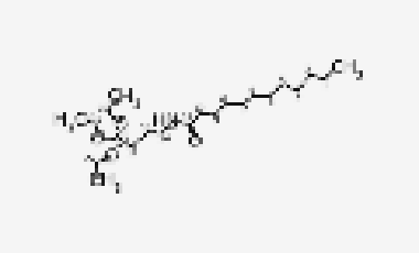 CCCCCCCCCCCC(=O)NCCC[Si](OCC)(OCC)OCC